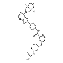 C=CC(=O)N[C@@H]1CCCN(Cc2ccnc(C(=O)Nc3ccc(-c4cc5c(N6C[C@H]7COC[C@H]7C6)ncnc5[nH]4)cc3)c2)C1